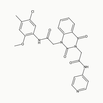 COc1cc(C)c(Cl)cc1NC(=O)Cn1c(=O)n(CC(=O)Nc2ccncc2)c(=O)c2ccccc21